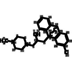 CN1CCN(CC(O)CC23CCC(c4ccccc42)c2ccc(Cl)cc23)CC1